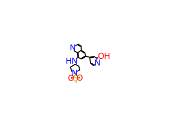 CS(=O)(=O)N1CCC(Nc2cc(-c3ccnc(O)c3)cc3ccncc23)CC1